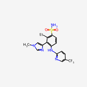 CCc1c(S(N)(=O)=O)ccc(Nc2ccc(C(F)(F)F)cn2)c1-c1cn(C)cn1